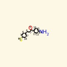 CSc1ccc(C=CC(=O)c2ccc(N)cc2)cc1